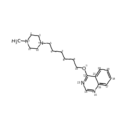 CN1CCN(CCCCCCOc2ncnc3ccccc23)CC1